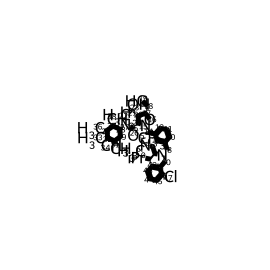 CC(C)C[C@@H](CN(C)C)N(Cc1cccc(CN2O[C@@H](CO)[C@@H]([C@H](C)O)[C@H]2C(=O)N[C@H]2C[C@@H](C)C(C)(C)[C@@H](C)[C@@H]2C)c1)Cc1ccccc1Cl